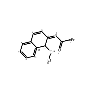 CCCC(=O)N=C1C=Cc2ccccc2C1OCC